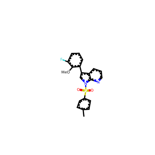 COc1c(F)cccc1-c1cn(S(=O)(=O)c2ccc(C)cc2)c2ncccc12